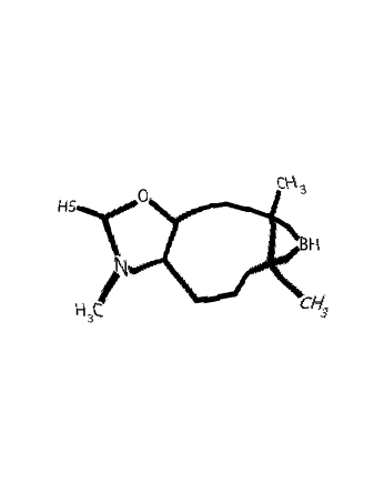 CN1C(S)OC2CC3(C)BC3(C)CCC21